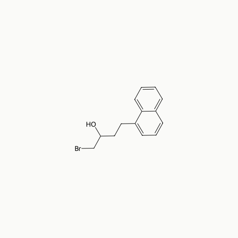 OC(CBr)CCc1cccc2ccccc12